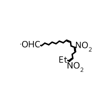 CC/C(=C\C/C=C(\C/C=C\CCCCCCC[C]=O)[N+](=O)[O-])[N+](=O)[O-]